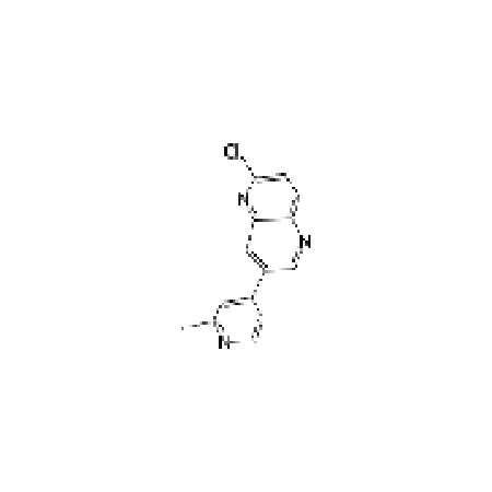 Cc1cc(-c2cnc3ccc(Cl)nc3c2)ccn1